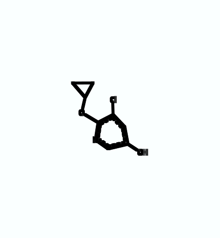 Oc1cnc(OC2CC2)c(Cl)c1